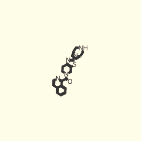 O=C(c1nccc2ccccc12)N1CCc2nc(N3C4CCC3CNC4)sc2C1